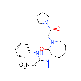 O=C(CN1CCCC[C@H](N/C(=C/[N+](=O)[O-])Nc2ccccc2)C1=O)N1CCCC1